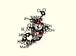 CN[C@H](CC(C)C)C(=O)N[C@H]1C(=O)N[C@@H](CC(N)=O)C(=O)N[C@H]2C(=O)N[C@H]3C(=O)N[C@H](C(=O)N[C@@H](C(=O)NOC)c4cc(O)cc(O)c4-c4cc3ccc4O)[C@H](O)c3ccc(c(Cl)c3)Oc3cc2cc(c3O[C@@H]2O[C@H](CO)[C@@H](O)[C@H](O)[C@H]2O[C@H]2C[C@](C)(NCCn3ccc(NC(=O)/C=C/c4ccc(Cl)c(Cl)c4)nc3=O)[C@H](O)[C@H](C)O2)Oc2ccc(cc2Cl)[C@H]1O